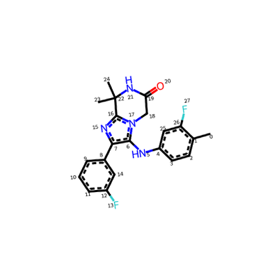 Cc1ccc(Nc2c(-c3cccc(F)c3)nc3n2CC(=O)NC3(C)C)cc1F